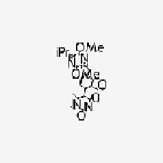 COC1=N[C@H](C(C)C)C(OC)=N[C@H]1Cc1ccc(-c2c(C)n(C)c(=O)n(C)c2=O)c2c1COC2